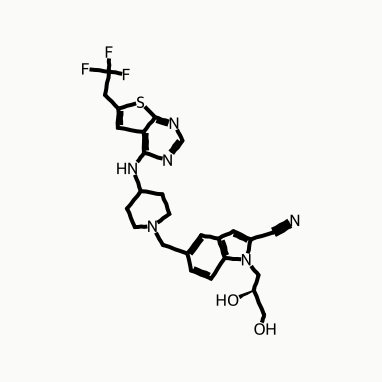 N#Cc1cc2cc(CN3CCC(Nc4ncnc5sc(CC(F)(F)F)cc45)CC3)ccc2n1C[C@H](O)CO